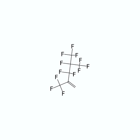 C=C(C(F)(F)F)C(F)(F)C(F)(C(F)(F)F)C(F)(F)F